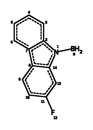 Bn1c2ccccc2c2ccc(F)cc21